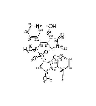 Cc1nc(C)c(S(=O)(=O)N(C)c2c3c(c(O)c4ncccc24)C(=O)N(Cc2ccc(F)cc2)C3)s1